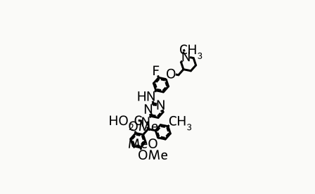 COc1ccc(OC)c(C(c2cc(C)ccc2OC)N(C(=O)O)c2ccnc(Nc3ccc(OCC4CCCN(C)C4)c(F)c3)n2)c1